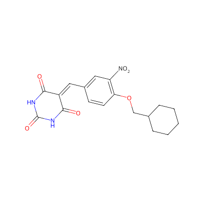 O=C1NC(=O)C(=Cc2ccc(OCC3CCCCC3)c([N+](=O)[O-])c2)C(=O)N1